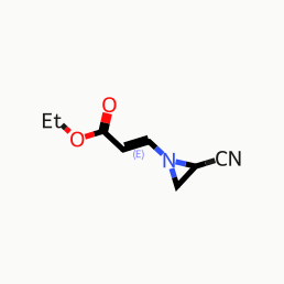 CCOC(=O)/C=C/N1CC1C#N